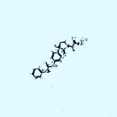 CC(C(=O)NO)N1CCC(C)(c2ccc(NC(=O)Nc3ccccc3)cc2)C1=O